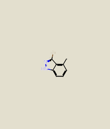 Cc1cccc2[nH]nc(Br)c12